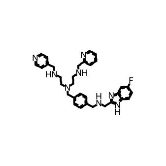 Fc1ccc2[nH]c(CNCc3ccc(CN(CCNCc4ccncc4)CCNCc4ccccn4)cc3)nc2c1